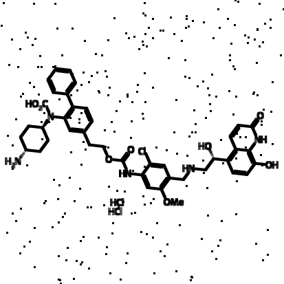 COc1cc(NC(=O)OCCc2ccc(-c3ccccc3)c(N(C(=O)O)[C@H]3CC[C@H](N)CC3)c2)c(Cl)cc1CNC[C@H](O)c1ccc(O)c2[nH]c(=O)ccc12.Cl.Cl